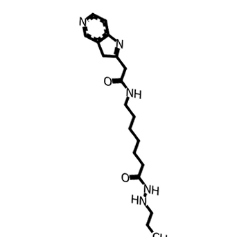 CCCNNC(=O)CCCCCCNC(=O)CC1=Nc2ccncc2C1